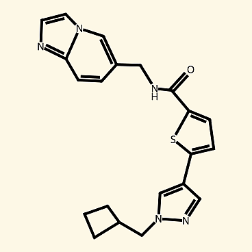 O=C(NCc1ccc2nccn2c1)c1ccc(-c2cnn(CC3CCC3)c2)s1